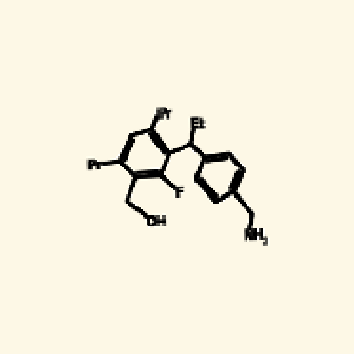 [CH2]CC(c1ccc(CN)cc1)c1c(C(C)C)cc(C(C)C)c(CO)c1F